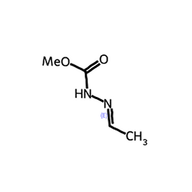 C/C=N/NC(=O)OC